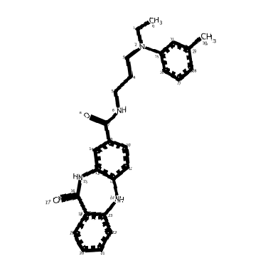 CCN(CCCNC(=O)c1ccc2c(c1)NC(=O)c1ccccc1N2)c1cccc(C)c1